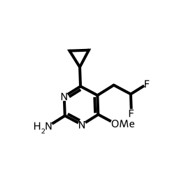 COc1nc(N)nc(C2CC2)c1CC(F)F